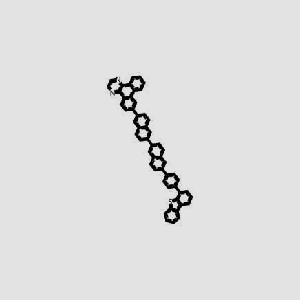 c1ccc2c(c1)sc1c(-c3ccc(-c4ccc5cc(-c6ccc7cc(-c8ccc9c(c8)c8ccccc8c8nccnc98)ccc7c6)ccc5c4)cc3)cccc12